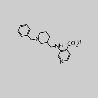 O=C(O)c1ccncc1NCC1CCCN(Cc2ccccc2)C1